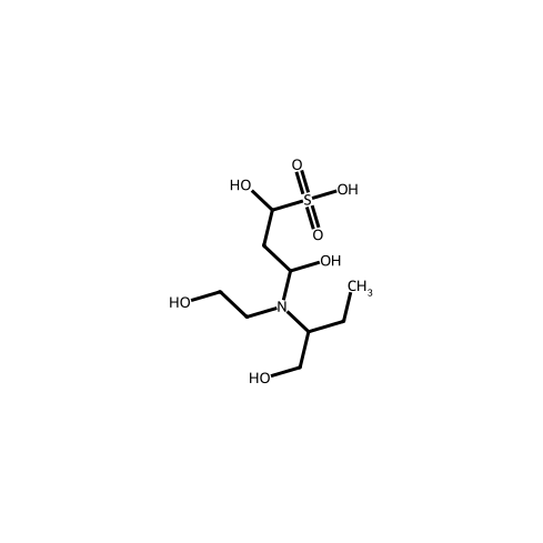 CCC(CO)N(CCO)C(O)CC(O)S(=O)(=O)O